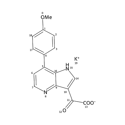 COc1ccc(-c2ccnc3c(C(=O)C(=O)[O-])c[nH]c23)cc1.[K+]